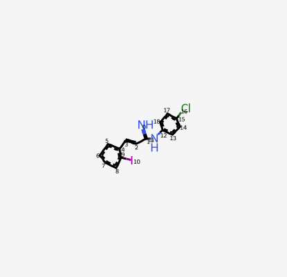 N=C(/C=C/c1ccccc1I)Nc1ccc(Cl)cc1